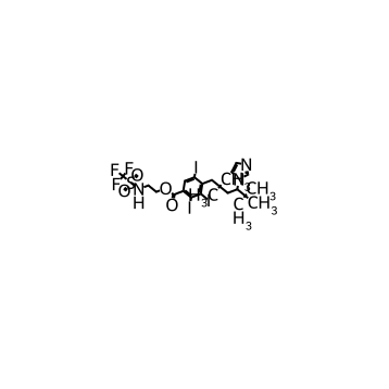 CC(C)(Cc1c(I)cc(C(=O)OCCNS(=O)(=O)C(F)(F)F)c(I)c1I)CC(n1ccnc1)C(C)(C)C